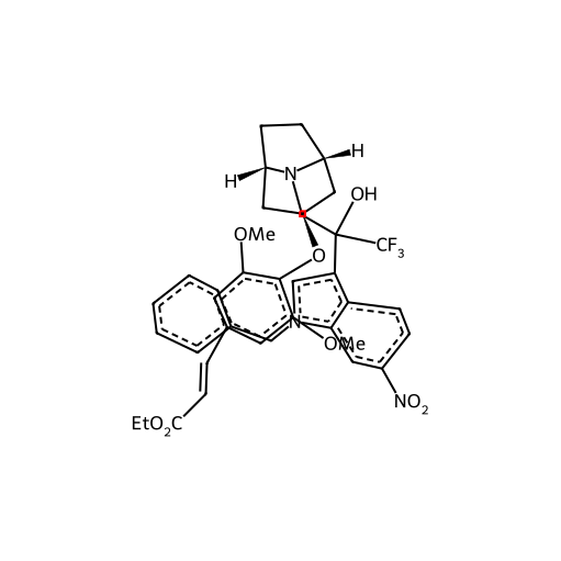 CCOC(=O)/C=C/c1cc(OC)c(O[C@@H]2C[C@H]3CC[C@@H](C2)N3CC(O)(c2cn(Cc3ccccc3)c3cc([N+](=O)[O-])ccc23)C(F)(F)F)c(OC)c1